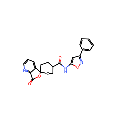 O=C1OC2(CCC(C(=O)Nc3cc(-c4ccccc4)no3)CC2)c2cccnc21